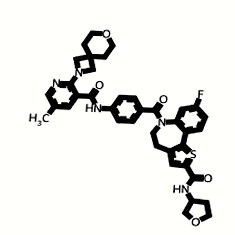 Cc1cnc(N2CC3(CCOCC3)C2)c(C(=O)Nc2ccc(C(=O)N3CCc4cc(C(=O)NC5CCOC5)sc4-c4ccc(F)cc43)cc2)c1